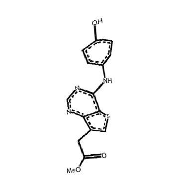 COC(=O)Cc1csc2c(Nc3ccc(O)cc3)ncnc12